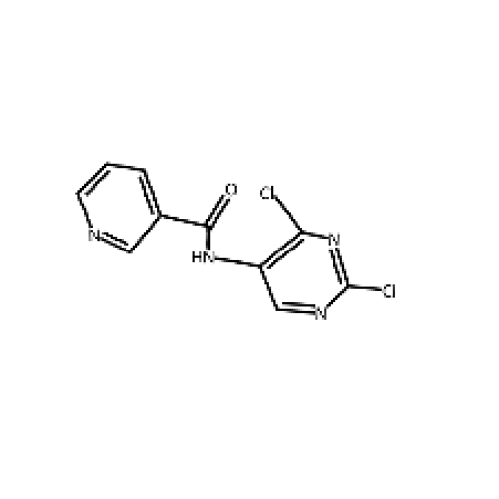 O=C(Nc1cnc(Cl)nc1Cl)c1cccnc1